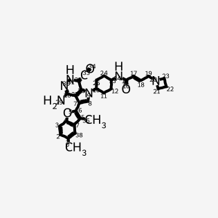 Cc1ccc2oc(-c3cn(C4CCC(NC(=O)/C=C/CN5CCC5)CC4)c4c3C(N)=NNC4=C=O)c(C)c2c1